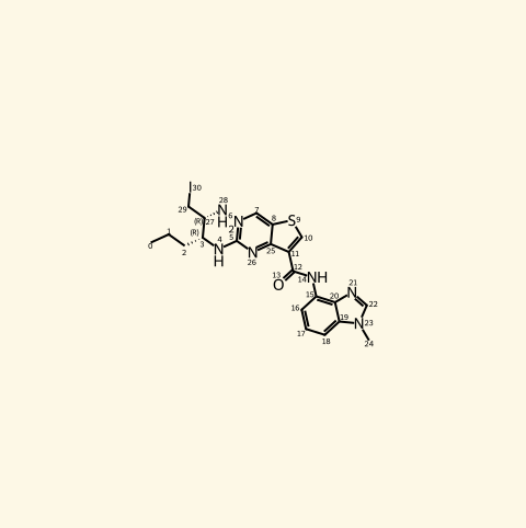 CCC[C@@H](Nc1ncc2scc(C(=O)Nc3cccc4c3ncn4C)c2n1)[C@@H](N)CI